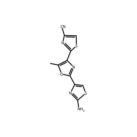 Cc1oc(-c2csc(N)n2)nc1-c1nc(C#N)cs1